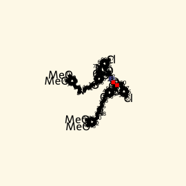 COc1ccc(CCN(C)CCCCOc2ccc(C3(OC(=O)/C=C/C(=O)OC4(c5ccc(OCCCCN(C)CCc6ccc(OC)c(OC)c6)cc5)Sc5cc(Cl)ccc5N(C)C4=O)Sc4cc(Cl)ccc4N(C)C3=O)cc2)cc1OC